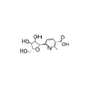 Cc1nc([C@H]2O[C@H](CO)[C@@H](O)[C@H]2O)ccc1C(=O)O